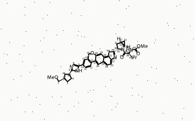 COC[C@@H]1CC[C@H](c2ncc(-c3ccc4c(c3)COc3cc5c6c(ccc5cc3-4)N=C([C@@H]3C[C@H]4C[C@H]4N3C(=O)[C@@H](NC(=O)OC)C(C)C)C6)[nH]2)C1